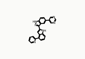 c1ccc(-c2cccc3[nH]c(-c4n[nH]c5ccc(-c6cncnc6)cc45)cc23)nc1